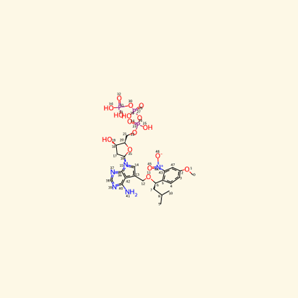 COc1ccc([C@@H](CC(C)C)OCc2cn([C@H]3C[C@@H](O)[C@@H](COP(=O)(O)OP(=O)(O)OP(=O)(O)O)O3)c3ncnc(N)c23)c([N+](=O)[O-])c1